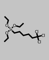 CCO[Si](CCCCCC(Cl)(Cl)Cl)(OCC)OCC